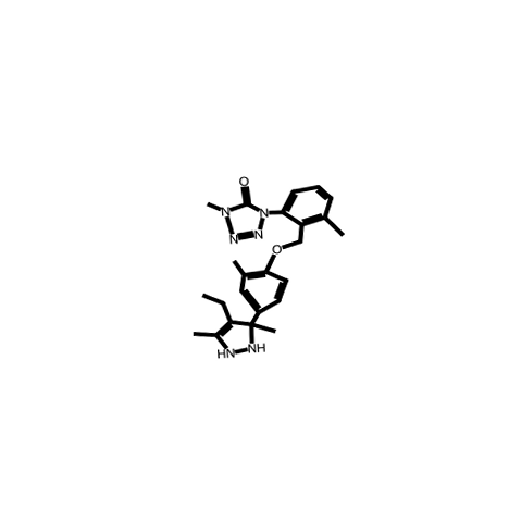 CCC1=C(C)NNC1(C)c1ccc(OCc2c(C)cccc2-n2nnn(C)c2=O)c(C)c1